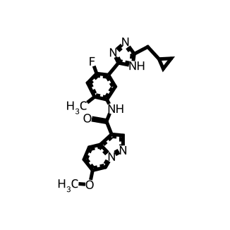 COc1ccc2c(C(=O)Nc3cc(-c4nnc(CC5CC5)[nH]4)c(F)cc3C)cnn2c1